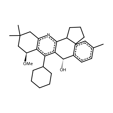 CO[C@H]1CC(C)(C)Cc2nc(C3CCCC3)c([C@@H](O)c3ccc(C)cc3)c(C3CCCCC3)c21